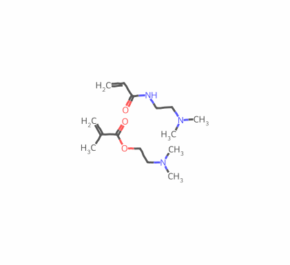 C=C(C)C(=O)OCCN(C)C.C=CC(=O)NCCN(C)C